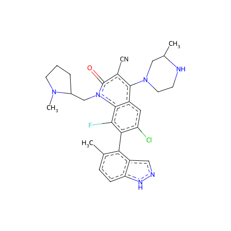 Cc1ccc2[nH]ncc2c1-c1c(Cl)cc2c(N3CCNC(C)C3)c(C#N)c(=O)n(CC3CCCN3C)c2c1F